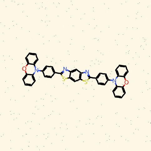 c1ccc2c(c1)Oc1ccccc1N2c1ccc(-c2nc3cc4nc(-c5ccc(N6c7ccccc7Oc7ccccc76)cc5)sc4cc3s2)cc1